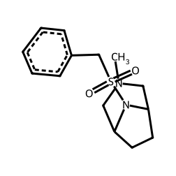 CN1CC2CCC(C1)N2S(=O)(=O)Cc1ccccc1